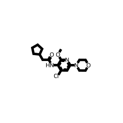 COc1nc(N2CCOCC2)cc(Cl)c1NC(=O)CC1CCCC1